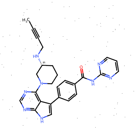 CC#CCN[C@@H]1CCCN(c2ncnc3[nH]cc(-c4ccc(C(=O)Nc5ncccn5)cc4)c23)C1